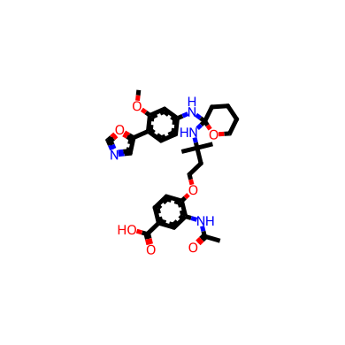 COc1cc(NC2(NC(C)(C)CCOc3ccc(C(=O)O)cc3NC(C)=O)CCCCO2)ccc1-c1cnco1